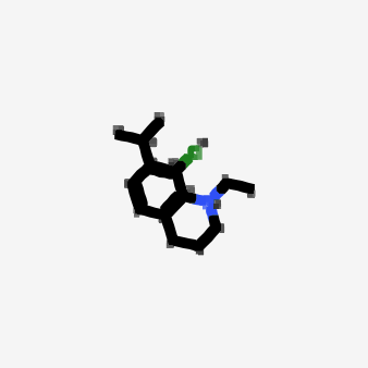 CCN1CCCc2ccc(C(C)C)c(Cl)c21